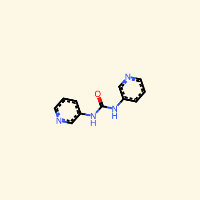 O=C(Nc1cccnc1)Nc1cccnc1